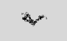 C=CC(=O)OCCOCCOC(CC)(OCCOCCOC(=O)C=C)OCCOCCOC(=O)C=C